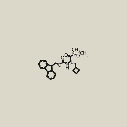 CON(C)C(=O)[C@H](CC1CCC1)NC(=O)OCC1c2ccccc2-c2ccccc21